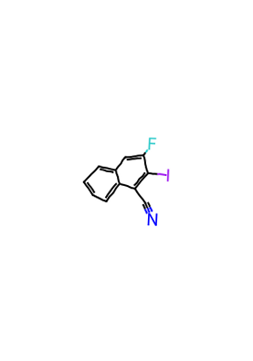 N#Cc1c(I)c(F)cc2ccccc12